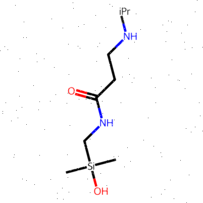 CC(C)NCCC(=O)NC[Si](C)(C)O